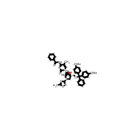 COc1ccc(C(OC[C@@]23CN(c4noc(C)n4)[C@@H]([C@H](n4cc(C)c(NC(=O)c5ccccc5)nc4=O)O2)[C@@H]3O)(c2ccccc2)c2ccc(OC)cc2)cc1